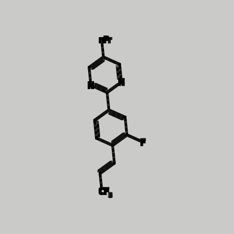 CCCc1cnc(-c2ccc(/C=C/C(F)(F)F)c(F)c2)nc1